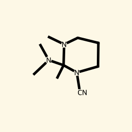 CN(C)C1(C)N(C)CCCN1C#N